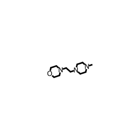 CN1CCN(CCN2CCOCC2)CC1